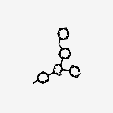 Fc1ccc(-c2nc(-c3cccc(Oc4ccccc4)c3)c(-c3ccncc3)[nH]2)cc1